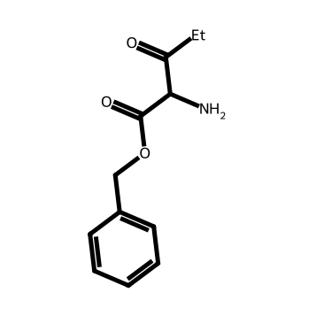 CCC(=O)C(N)C(=O)OCc1ccccc1